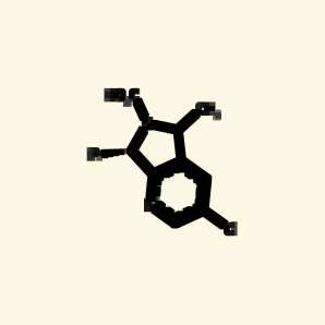 CC(C)[C@H]1c2ncc(Cl)cc2C(C)N1C(=O)O